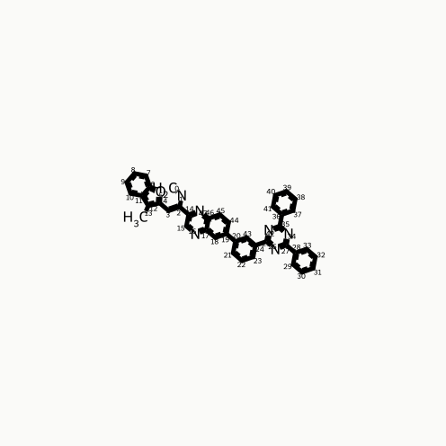 C=N/C(=C\c1oc2ccccc2c1C)c1cnc2cc(-c3cccc(-c4nc(-c5ccccc5)nc(-c5ccccc5)n4)c3)ccc2n1